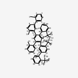 Cc1ccccc1-c1ccc(C)c(-c2cc(-c3ccccc3C)c(-c3cc(-c4ccccc4C(F)(F)F)ccc3C(F)(F)F)cc2-c2ccccc2C(F)(F)F)c1